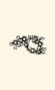 CNC(=O)COc1cc2cc(Nc3nc(N4CCN(CC5C6CN(c7cccc8c7C(=O)N(C7CCC(=O)NC7=O)C8=O)CC56)CC4)ncc3Cl)ccc2n(C(C)C)c1=O